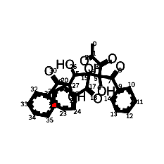 CC(=O)C(=O)C(O)(C(=O)c1ccccc1)C(O)(C(=O)c1ccccc1)C(O)C(O)C(=O)c1ccccc1